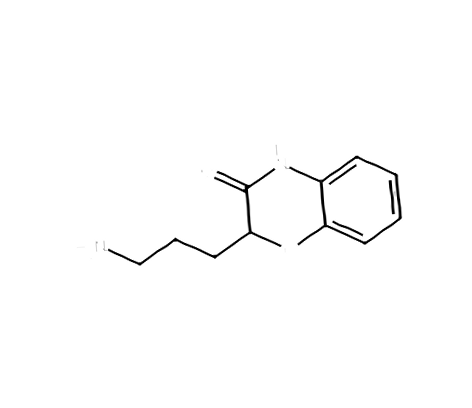 NCCCC1Oc2ccccc2NC1=O